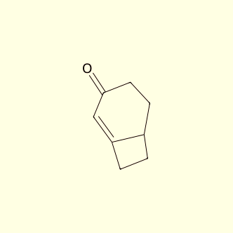 O=C1C=C2CCC2CC1